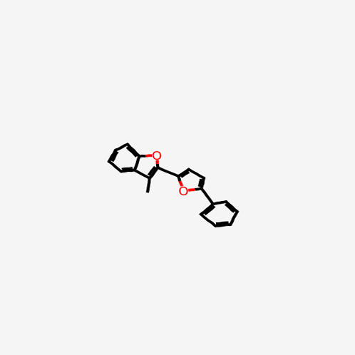 Cc1c(-c2ccc(-c3ccccc3)o2)oc2ccccc12